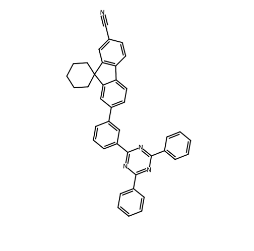 N#Cc1ccc2c(c1)C1(CCCCC1)c1cc(-c3cccc(-c4nc(-c5ccccc5)nc(-c5ccccc5)n4)c3)ccc1-2